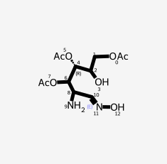 CC(=O)OCC(O)[C@@H](OC(C)=O)C(OC(C)=O)C(N)/C=N/O